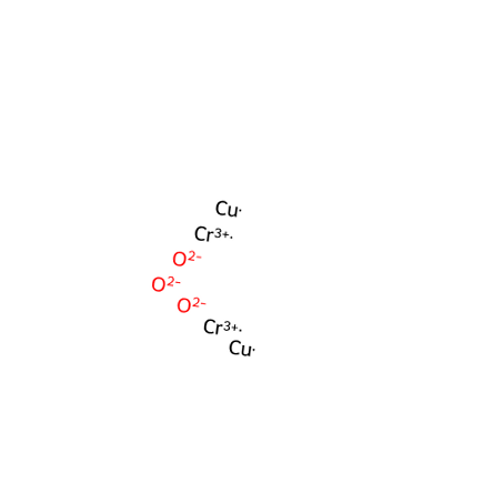 [Cr+3].[Cr+3].[Cu].[Cu].[O-2].[O-2].[O-2]